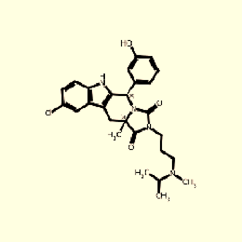 CC(C)N(C)CCCN1C(=O)N2[C@H](c3cccc(O)c3)c3[nH]c4ccc(Cl)cc4c3C[C@@]2(C)C1=O